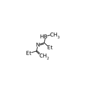 C=C(CC)/N=C(/BC)CC